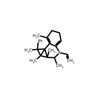 C=CN1C2=CCCC(C)=C2C23C(C)(C(C)C)C2(C)C3(C)C1C